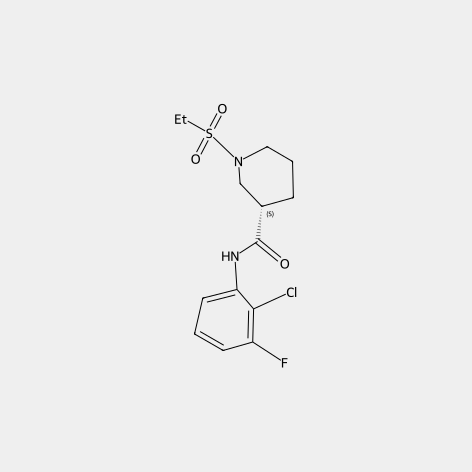 CCS(=O)(=O)N1CCC[C@H](C(=O)Nc2cccc(F)c2Cl)C1